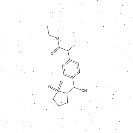 CCOC(=O)C(C)c1ccc(C(O)C2CCCS2(=O)=O)cc1